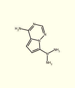 Nc1ncnn2c(N(N)N)ccc12